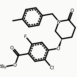 Cc1ccc(CN2C[C@H](Oc3cc(F)c(C(=O)OC(C)(C)C)cc3Cl)CCC2=O)cc1